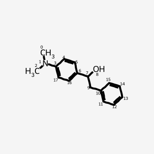 CN(C)c1ccc(C(O)Cc2ccccc2)cc1